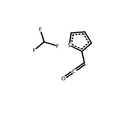 FC(F)F.O=C=Cc1cccs1